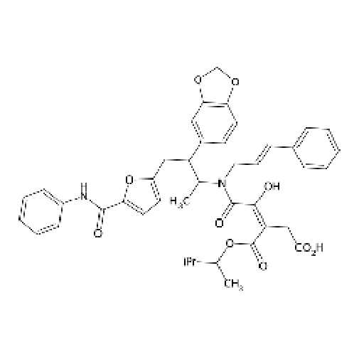 CC(C)C(C)OC(=O)C(CC(=O)O)=C(O)C(=O)N(CC=Cc1ccccc1)C(C)C(Cc1ccc(C(=O)Nc2ccccc2)o1)c1ccc2c(c1)OCO2